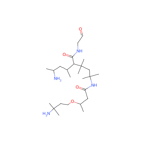 CC(N)CC(C)C(C(=O)NCC=O)C(C)(C)CC(C)(C)NC(=O)CC(C)OCCC(C)(C)N